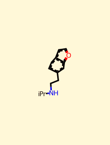 CC(C)NCCc1ccc2ccoc2c1